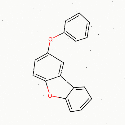 [c]1ccccc1Oc1ccc2oc3ccccc3c2c1